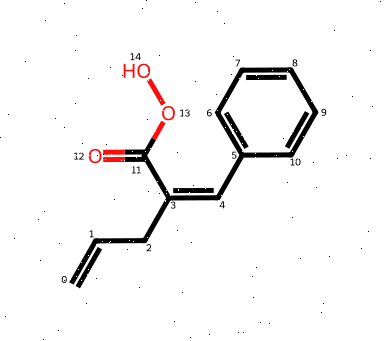 C=CCC(=Cc1ccccc1)C(=O)OO